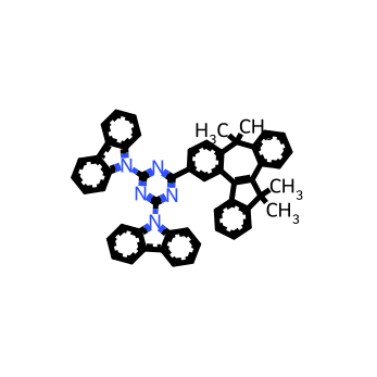 CC1(C)C2=C(c3ccccc31)c1cc(-c3nc(-n4c5ccccc5c5ccccc54)nc(-n4c5ccccc5c5ccccc54)n3)ccc1C(C)(C)c1ccccc12